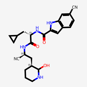 N#Cc1ccc2cc(C(=O)N[C@@H](CC3CC3)C(=O)N[C@H](C#N)C[C@@H]3CCCNC3O)[nH]c2c1